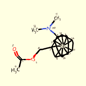 CC(=O)OC[C]12[CH]3[CH]4[CH]5[C]1(N(C)C)[Fe]43521678[CH]2[CH]1[CH]6[CH]7[CH]28